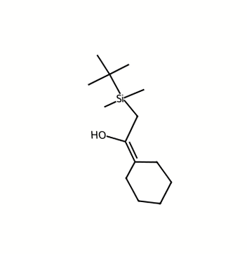 CC(C)(C)[Si](C)(C)CC(O)=C1CCCCC1